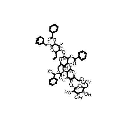 CCC1O[C@@H](OCc2ccccc2)C(OC(=O)c2ccccc2)[C@@H](C)[C@@H]1O[C@@H]1OC(COC(=O)c2ccccc2)[C@H](O)[C@H](O[C@@H]2OC(CO)[C@@H](O[C@@H]3OC(CO)[C@H](O)[C@H](O)C3O)[C@H](O)C2NC(C)=O)C1OC(=O)c1ccccc1